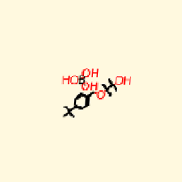 CC(C)(C)c1ccc(COC(C)(C)C(C)(C)O)cc1.OB(O)O